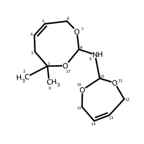 CC1(C)C/C=C\COC(NC2OCC=CCO2)O1